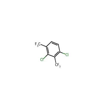 FC(F)(F)c1ccc(Cl)c(C(F)(F)F)c1Cl